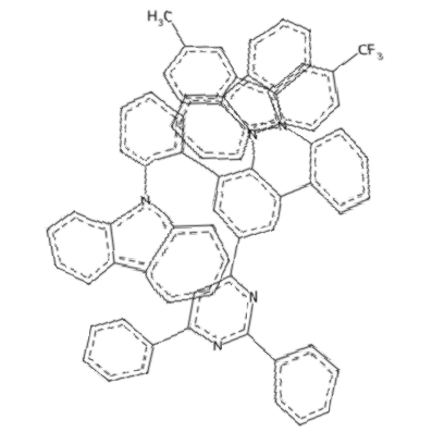 Cc1ccc2c(c1)c1cc(C(F)(F)F)ccc1n2-c1c(-c2ccccc2-n2c3ccccc3c3ccccc32)cc(-c2cc(-c3ccccc3)nc(-c3ccccc3)n2)cc1-c1ccccc1-n1c2ccccc2c2ccccc21